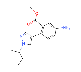 CCC(C)n1cc(-c2ccc(N)cc2C(=O)OC)cn1